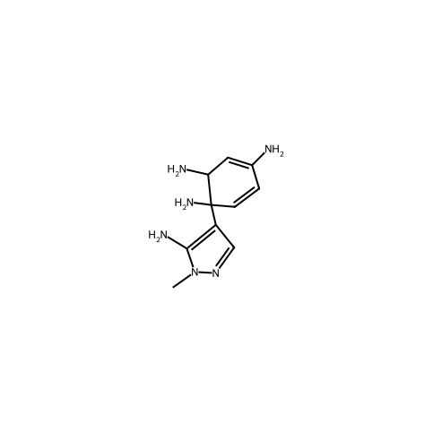 Cn1ncc(C2(N)C=CC(N)=CC2N)c1N